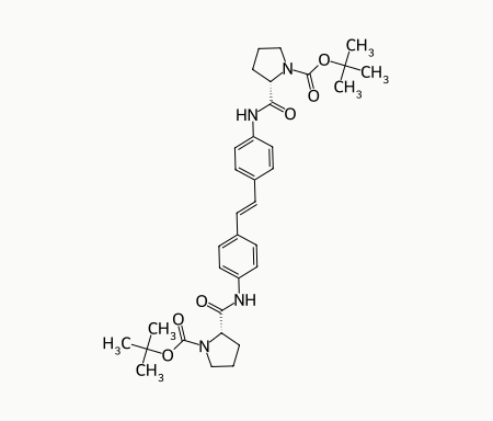 CC(C)(C)OC(=O)N1CCC[C@H]1C(=O)Nc1ccc(/C=C/c2ccc(NC(=O)[C@@H]3CCCN3C(=O)OC(C)(C)C)cc2)cc1